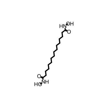 O=C(CCCCCCCCCCCCCCC(=O)NO)NO